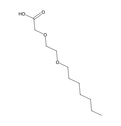 CCCCCCCOCCOCC(=O)O